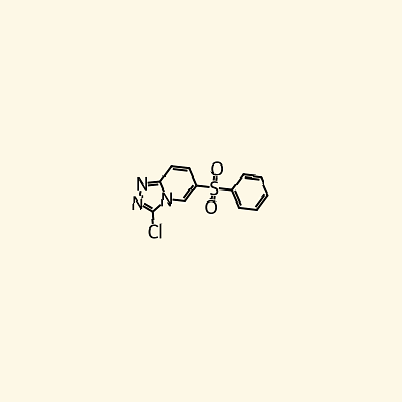 O=S(=O)(c1ccccc1)c1ccc2nnc(Cl)n2c1